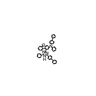 c1ccc(-c2ccc(C3=NC(c4cc(N(c5ccccc5)c5ccc(-c6ccccc6)cc5)cc5oc6ccccc6c45)=NC(c4ccccc4)N3)cc2)cc1